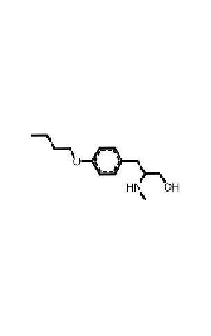 CCCCOc1ccc(CC(CO)NC)cc1